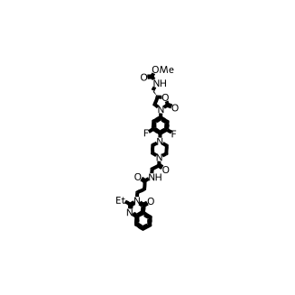 CCc1nc2ccccc2c(=O)n1CCC(=O)NCC(=O)N1CCN(c2c(F)cc(N3C[C@H](CNC(=O)OC)OC3=O)cc2F)CC1